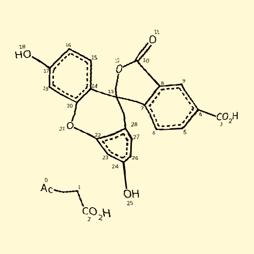 CC(=O)CC(=O)O.O=C(O)c1ccc2c(c1)C(=O)OC21c2ccc(O)cc2Oc2cc(O)ccc21